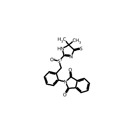 CC1(C)NC([S+]([O-])Cc2ccccc2N2C(=O)c3ccccc3C2=O)=NC1=S